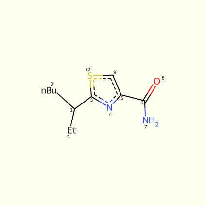 CCCCC(CC)c1nc(C(N)=O)cs1